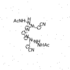 CC(=O)NCCNCCN(CCc1cccc(C#N)c1)Cc1cccc(-c2cccc(-c3cccc(CN(CCNCCNC(C)=O)CCc4cccc(C#N)c4)n3)c2C)n1